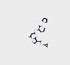 CNc1cc(NC2=CC=CN(n3cccc3)C2=C=O)nc2c(C(=O)NC3CC3)cnn12